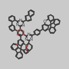 c1ccc2c(c#1)-c1ccccc1C21c2ccccc2Oc2cc(-c3ccc(-c4nc(-c5ccc6ccccc6c5)nc(-c5ccccc5-c5cccc(C6=CCC(c7nc(-c8ccccc8)nc(-c8ccc(-c9ccc%10c(c9)OC9=CCCC=C9C%109c%10ccccc%10-c%10ccccc%109)cc8)n7)C=C6)c5)n4)cc3)ccc21